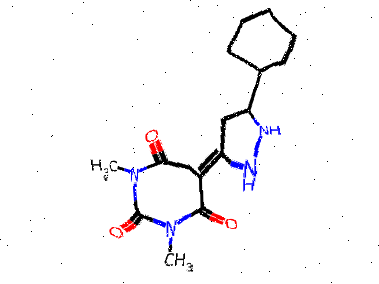 CN1C(=O)C(=C2CC(C3CCCCC3)NN2)C(=O)N(C)C1=O